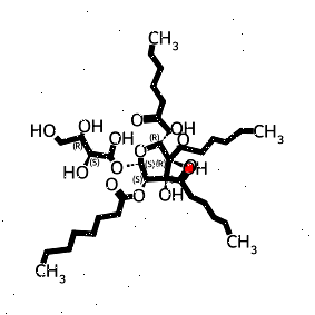 CCCCCCCC(=O)O[C@@H]1[C@H](OC(O)[C@@H](O)[C@H](O)CO)O[C@H](C(O)C(=O)CCCCC)[C@](O)(C(=O)CCCCC)[C@@]1(O)C(=O)CCCCC